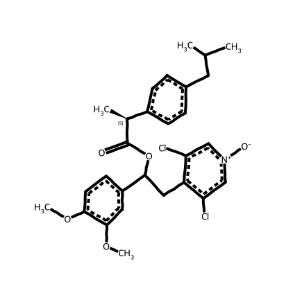 COc1ccc(C(Cc2c(Cl)c[n+]([O-])cc2Cl)OC(=O)[C@@H](C)c2ccc(CC(C)C)cc2)cc1OC